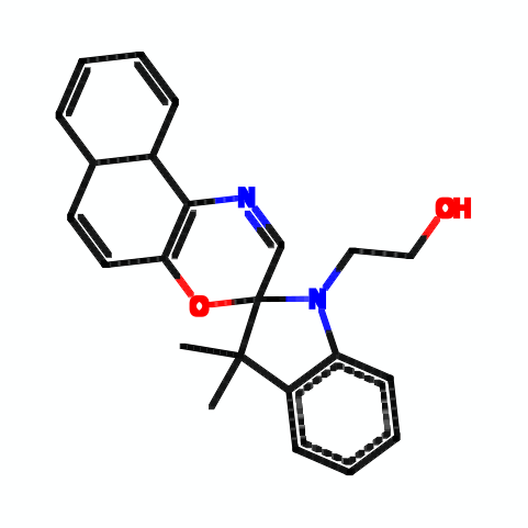 CC1(C)c2ccccc2N(CCO)C12C=NC1=C(C=CC3C=CC=CC13)O2